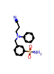 N#CCCN(Cc1cccc(S(N)(=O)=O)c1)c1ccccc1